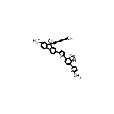 C#CC#CC#CC1(C)c2cc(C)ccc2-c2ccc(-c3ccc(-c4ccc(-c5ccc(C)s5)c5nsnc45)s3)cc21